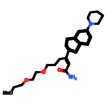 COCCOCCOCCCC(=CC(N)=O)c1ccc2cc(N3CCCCC3)ccc2c1